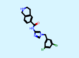 O=C(Nc1cn(Cc2cc(Br)cc(Br)c2)cn1)c1ccc2c(c1)CCNC2